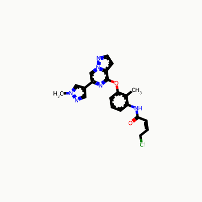 Cc1c(NC(=O)/C=C\CCl)cccc1Oc1nc(-c2cnn(C)c2)cn2nccc12